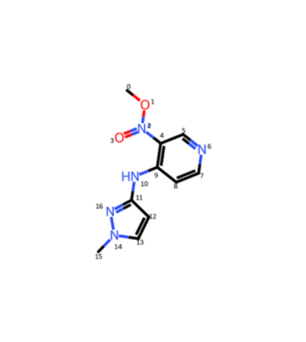 CO[N+](=O)c1cnccc1Nc1ccn(C)n1